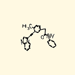 Cc1ccc(CC(=O)Nc2ccccc2)cc1C#Cc1cnc2ccccn12